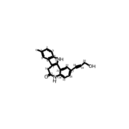 Cc1ccc2[nH]c3c(c2c1)CC(=O)Nc1ccc(C#CCO)cc1-3